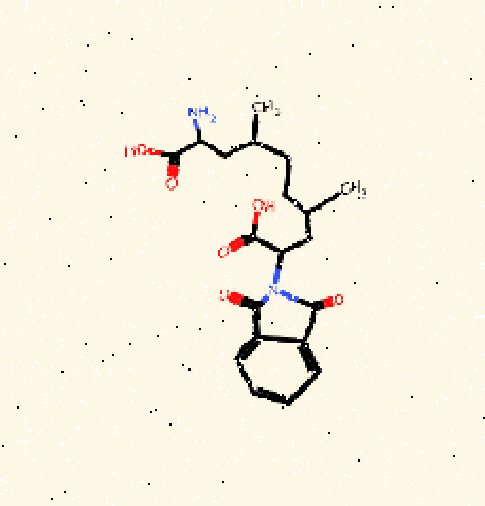 CC(CCC(C)CC(C(=O)O)N1C(=O)c2ccccc2C1=O)CC(N)C(=O)O